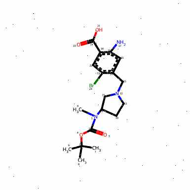 CN(C(=O)OC(C)(C)C)C1CCN(Cc2cc(N)c(C(=O)O)cc2Br)C1